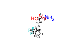 NOC(=O)C(O)CCCCc1ccccc1C(F)(F)F